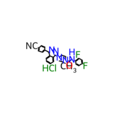 CC1CN(c2nnc(-c3ccc(C#N)cc3)c3ccccc23)CCN1C(=O)Nc1ccc(F)cc1F.Cl